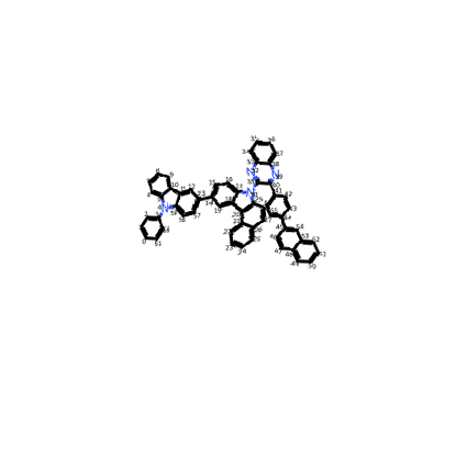 c1ccc(-n2c3ccccc3c3cc(-c4ccc5c(c4)c4c6ccccc6ccc4n5-c4nc5ccccc5nc4-c4ccc(-c5ccc6ccccc6c5)cc4)ccc32)cc1